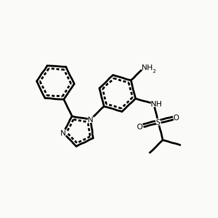 CC(C)S(=O)(=O)Nc1cc(-n2ccnc2-c2ccccc2)ccc1N